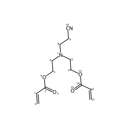 C=CC(=O)OCCN(CCC#N)CCOC(=O)C=C